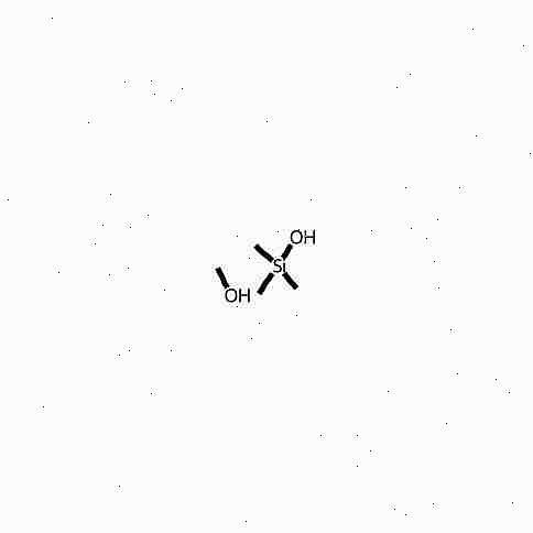 CO.C[Si](C)(C)O